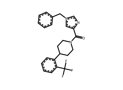 O=C(c1cn(Cc2ccccc2)cn1)N1CCC(c2ccccc2C(F)(F)F)CC1